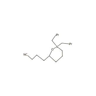 CC(C)C[Si]1(CC(C)C)CCCC(CCCC#N)O1